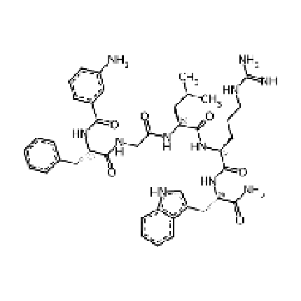 CC(C)C[C@H](NC(=O)CNC(=O)[C@H](Cc1ccccc1)NC(=O)c1cccc(N)c1)C(=O)N[C@@H](CCCNC(=N)N)C(=O)N[C@@H](Cc1c[nH]c2ccccc12)C(N)=O